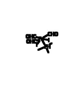 C[PH](C)(C)[Fe]([I])([I])([CH]=O)([CH]=O)[CH]=O